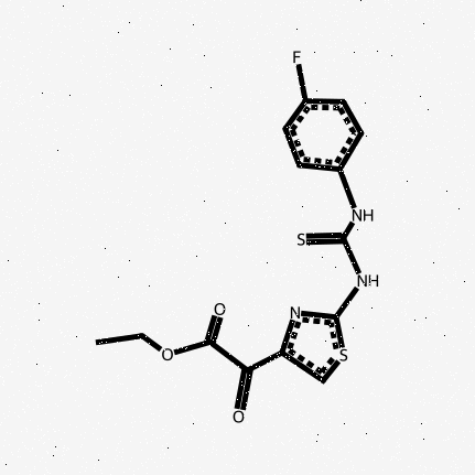 CCOC(=O)C(=O)c1csc(NC(=S)Nc2ccc(F)cc2)n1